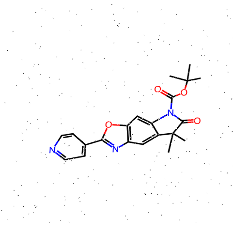 CC(C)(C)OC(=O)N1C(=O)C(C)(C)c2cc3nc(-c4ccncc4)oc3cc21